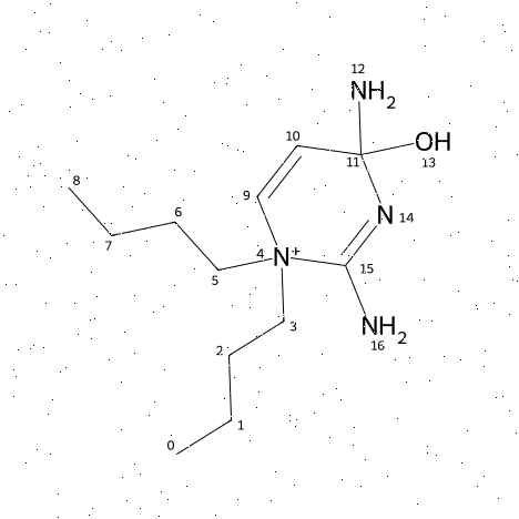 CCCC[N+]1(CCCC)C=CC(N)(O)N=C1N